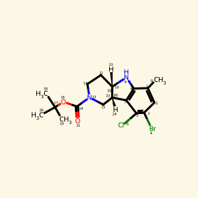 Cc1cc(Br)c(Cl)c2c1N[C@H]1CCN(C(=O)OC(C)(C)C)C[C@@H]21